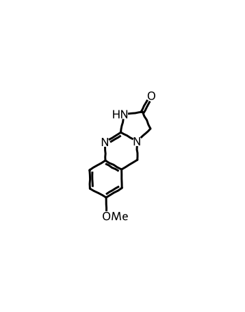 COc1ccc2c(c1)CN1CC(=O)NC1=N2